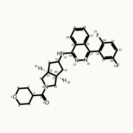 O=C(C1CCOCC1)N1C[C@H]2CC(Nc3nnc(-c4cc(F)ccc4F)c4ccccc34)C[C@H]2C1